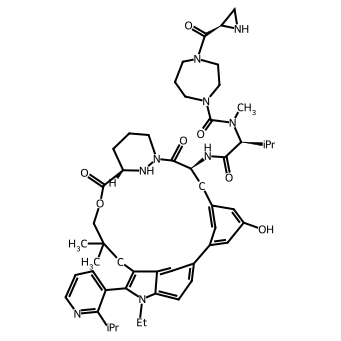 CCn1c(-c2cccnc2C(C)C)c2c3cc(ccc31)-c1cc(O)cc(c1)C[C@H](NC(=O)[C@H](C(C)C)N(C)C(=O)N1CCCN(C(=O)[C@H]3CN3)CC1)C(=O)N1CCC[C@H](N1)C(=O)OCC(C)(C)C2